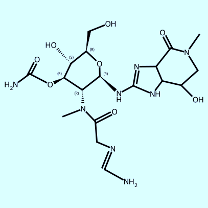 CN1CC(O)C2NC(N[C@@H]3O[C@H](CO)[C@@H](O)[C@H](OC(N)=O)[C@H]3N(C)C(=O)CN=CN)=NC2C1=O